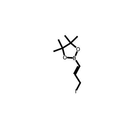 CC1(C)OB(C=CCI)OC1(C)C